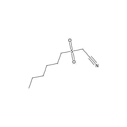 CCCCCCS(=O)(=O)CC#N